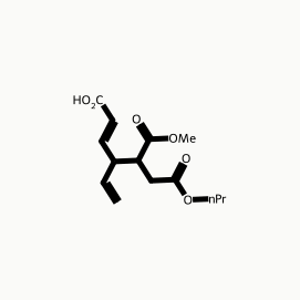 C=CC(/C=C/C(=O)O)C(CC(=O)OCCC)C(=O)OC